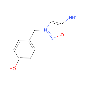 [NH-]c1c[n+](Cc2ccc(O)cc2)no1